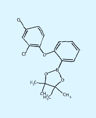 CC1(C)OB(c2c[c]ccc2Oc2ccc(Cl)cc2Cl)OC1(C)C